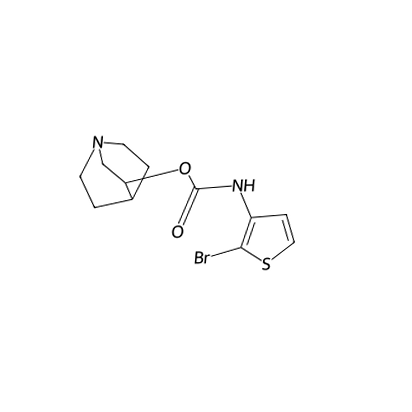 O=C(Nc1ccsc1Br)OC1CN2CCC1CC2